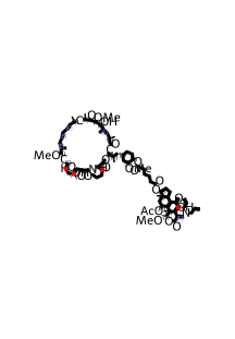 C=CCN(/C=C1/C(=O)O[C@H](COC)[C@@]2(C)C1=C(O)C(=O)C1=C2[C@H](OC(C)=O)C[C@@]2(C)C1CC[C@@H]2OC(=O)CCCCC(=O)O[C@@H]1CC[C@@H](C[C@@H](C)[C@@H]2CC(=O)[C@H](C)/C=C(\C)[C@@H](O)[C@@H](OC)C(=O)[C@H](C)C[C@H](C)/C=C/C=C/C=C(\C)[C@@H](OC)C[C@@H]3CC[C@@H](C)[C@@](O)(O3)C(=O)C(=O)N3CCCC[C@H]3C(=O)O2)C[C@H]1OC)CC=C